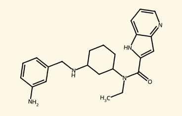 CCN(C(=O)c1cc2ncccc2[nH]1)C1CCCC(NCc2cccc(N)c2)C1